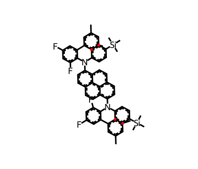 Cc1cc(C)cc(-c2cc(F)cc(F)c2N(c2ccc([Si](C)(C)C)cc2)c2ccc3ccc4c(N(c5ccc([Si](C)(C)C)cc5)c5c(F)cc(F)cc5-c5cc(C)cc(C)c5)ccc5ccc2c3c54)c1